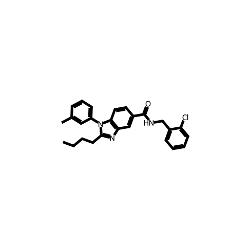 CCCCc1nc2cc(C(=O)NCc3ccccc3Cl)ccc2n1-c1cccc(C)c1